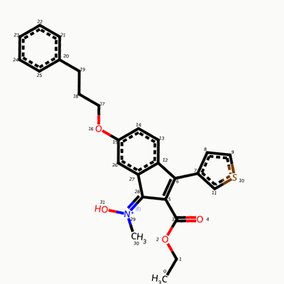 CCOC(=O)C1=C(c2ccsc2)c2ccc(OCCCc3ccccc3)cc2/C1=[N+](/C)O